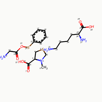 CN1CSCC1C(=O)O.NCC(=O)OSc1ccccc1.NCCCC[C@H](N)C(=O)O